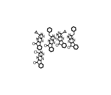 O=C1c2ccccc2-c2nc3nnc(C4CC4)n3nc21.O=C1c2ccccc2-c2nc3nnc(Cc4ccccc4)n3nc21.O=C1c2ccccc2-c2nc3nnc(Cl)n3nc21.O=C1c2ccccc2-c2nn3c(C4CC4)nnc3nc21.O=C1c2ccccc2-c2nn3c(Cc4ccccc4)nnc3nc21